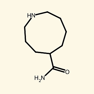 NC(=O)C1CCCCNCCC1